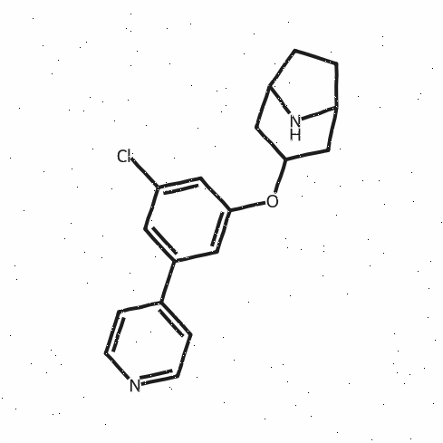 Clc1cc(OC2CC3CCC(C2)N3)cc(-c2ccncc2)c1